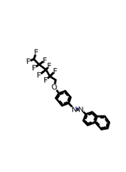 FC(F)C(F)(F)C(F)(F)C(F)(F)COc1ccc(/N=N/c2ccc3ccccc3c2)cc1